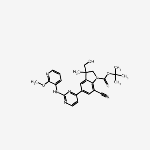 COc1ncccc1Nc1nccc(-c2cc(C#N)c3c(c2)C(C)(CO)CN3C(=O)OC(C)(C)C)n1